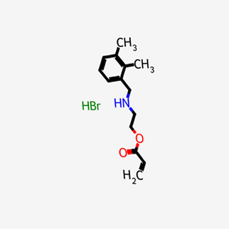 Br.C=CC(=O)OCCNCc1cccc(C)c1C